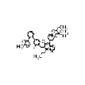 CCCc1c(Cc2ccc(-c3ccccc3C3=NOC(O)N3)cc2F)c(=O)n([C@H]2CC[C@H](OC(CC)C(C)(C)O)CC2)c2ncnn12